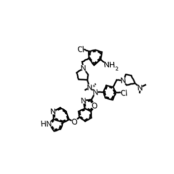 CN(C)C1CCN(Cc2cc(N(c3nc4cc(Oc5ccnc6[nH]ccc56)ccc4o3)[N+](C)(C)C3CCN(Cc4cc(N)ccc4Cl)C3)ccc2Cl)C1